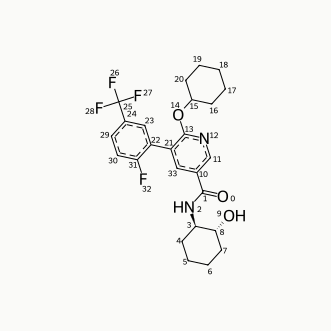 O=C(N[C@@H]1CCCC[C@H]1O)c1cnc(OC2CCCCC2)c(-c2cc(C(F)(F)F)ccc2F)c1